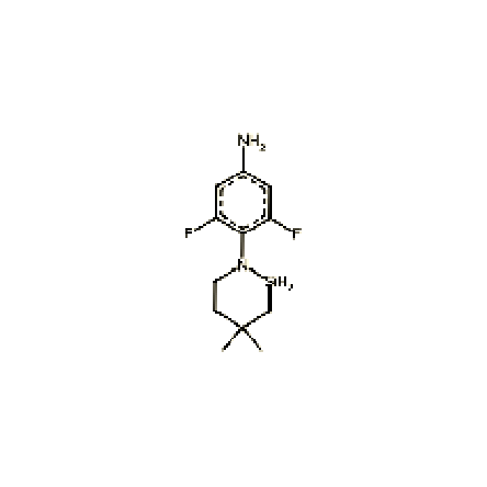 CC1(C)CCN(c2c(F)cc(N)cc2F)[SiH2]C1